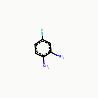 Nc1c[c]c(F)cc1N